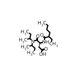 CCCCC(CC)C(=O)N[C@@H](CC(=O)O)C(=O)N(C(C)CC)C(C)CC